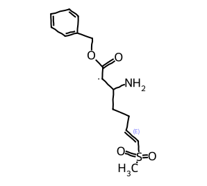 CS(=O)(=O)/C=C/CCC(N)[CH]C(=O)OCc1ccccc1